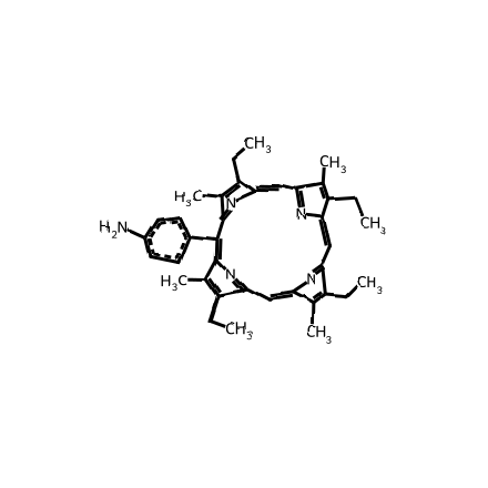 CCC1=C(C)C2=NC1=CC1=NC(=CC3=NC(=C(c4ccc(N)cc4)C4=NC(=C2)C(CC)=C4C)C(C)=C3CC)C(C)=C1CC